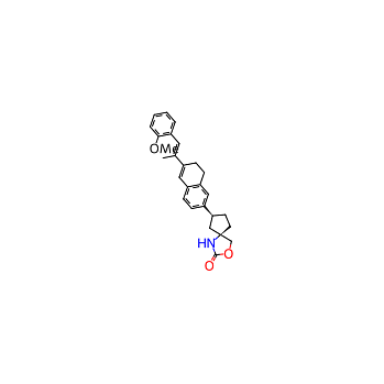 COc1ccccc1/C=C(\C)C1=Cc2ccc([C@H]3CC[C@]4(COC(=O)N4)C3)cc2CC1